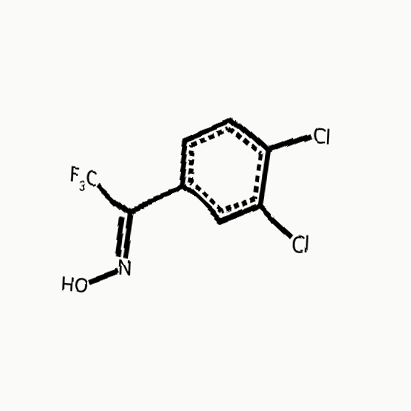 ON=C(c1ccc(Cl)c(Cl)c1)C(F)(F)F